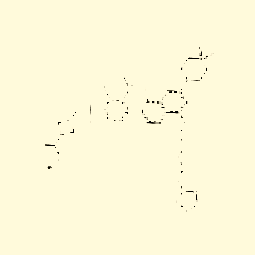 C[C@@H](Nc1ncnc2c1cc(C1CCS(=O)(=O)CC1)c(=O)n2CCCCCCC1OCCO1)c1cccc(C(F)(F)CC2CN(C(=O)OC(C)(C)C)C2)c1F